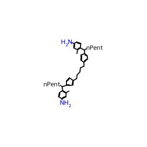 CCCCCC(c1ccc(CCCCCc2ccc(C(CCCCC)c3ccc(N)cc3C)cc2)cc1)c1ccc(N)cc1C